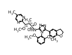 COc1cccc(OC)c1-n1c(NS(=O)(=O)[C@@H](C)[C@H](OC)c2ncc(C)cn2)nnc1-c1ccc2c(c1)CCO2